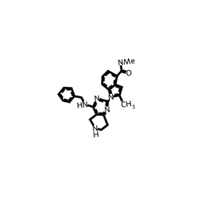 CNC(=O)c1cccc2c1cc(C)n2-c1nc2c(c(NCc3ccccc3)n1)CNCC2